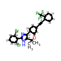 CC1(C)Oc2cc(C#Cc3ccccc3C(F)(F)F)ccc2-c2nc(-c3c(Br)cccc3Br)[nH]c21